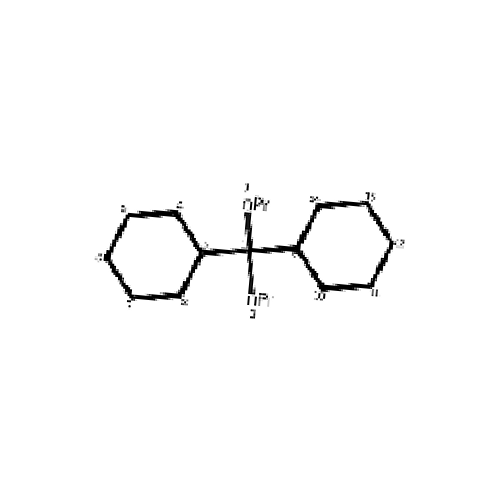 CCCC(CCC)(C1CCCCC1)C1CCCCC1